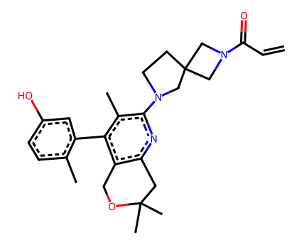 C=CC(=O)N1CC2(CCN(c3nc4c(c(-c5cc(O)ccc5C)c3C)COC(C)(C)C4)C2)C1